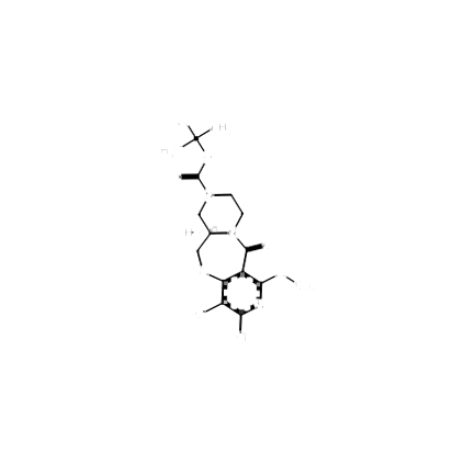 COc1nc(Cl)c(Cl)c2c1C(=O)N1CCN(C(=O)OC(C)(C)C)C[C@@H]1CO2